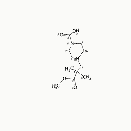 COC(=O)C(C)(C)CN1CCN(C(=O)O)CC1